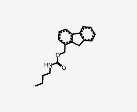 [CH2]CCCNC(=O)OCc1cccc2c1Cc1ccccc1-2